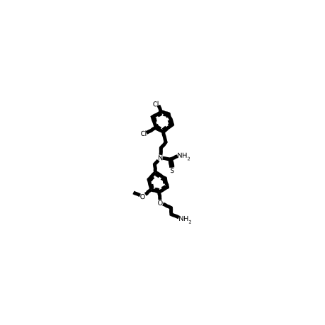 COc1cc(CN(CCc2ccc(Cl)cc2Cl)C(N)=S)ccc1OCCN